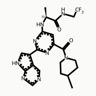 CC1CCN(C(=O)c2cc(N[C@@H](C)C(=O)NCC(F)(F)F)nc(-c3c[nH]c4ncncc34)n2)CC1